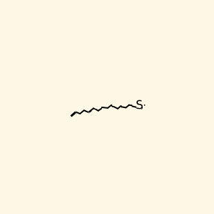 C=CCCCCCCCCCCCCC[S]